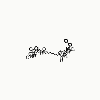 O=C(CCOc1cccc2c1C(=O)N(C1CCC(=O)NC1=O)C2=O)NCCCCCCCCC(=O)Nc1cncc(Nc2ncc(Cl)c(-c3cccc(-c4ccccc4)c3)n2)c1